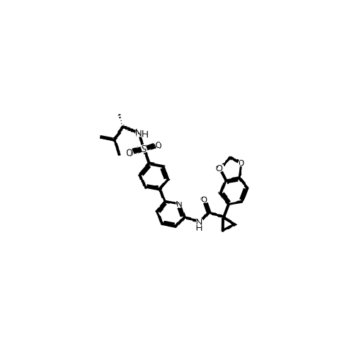 CC(C)[C@H](C)NS(=O)(=O)c1ccc(-c2cccc(NC(=O)C3(c4ccc5c(c4)OCO5)CC3)n2)cc1